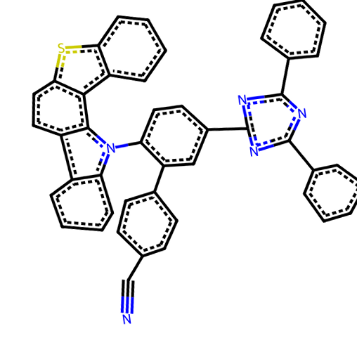 N#Cc1ccc(-c2cc(-c3nc(-c4ccccc4)nc(-c4ccccc4)n3)ccc2-n2c3ccccc3c3ccc4sc5ccccc5c4c32)cc1